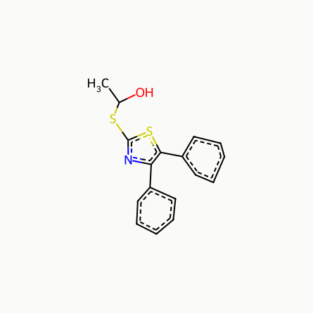 CC(O)Sc1nc(-c2ccccc2)c(-c2ccccc2)s1